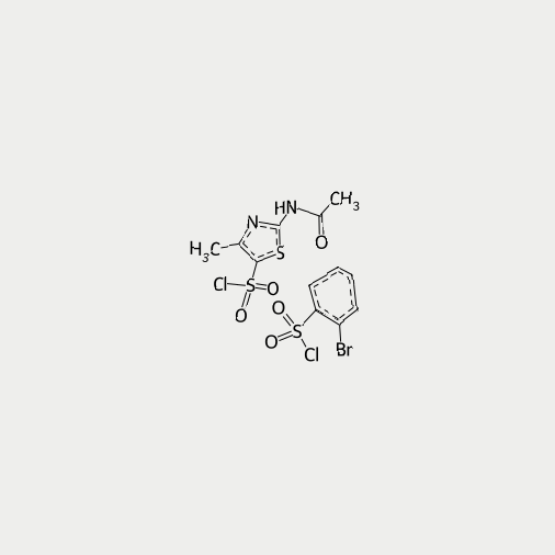 CC(=O)Nc1nc(C)c(S(=O)(=O)Cl)s1.O=S(=O)(Cl)c1ccccc1Br